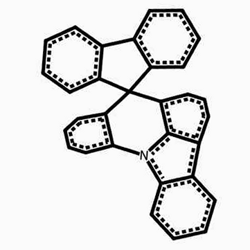 c1ccc2c(c1)-c1ccccc1C21c2ccccc2-n2c3ccccc3c3cccc1c32